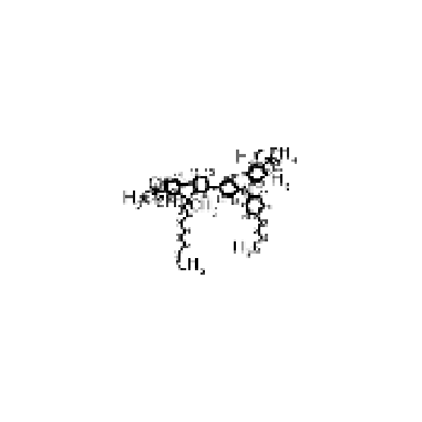 CCCCCCCCC1(C)c2cc(-c3ccc(N(c4ccc(CCCC)cc4)c4ccc(C(C)(C)C)cc4)cc3)ccc2-c2ccc(C(C)(C)C)cc21